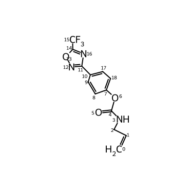 C=CCNC(=O)Oc1ccc(-c2noc(C(F)(F)F)n2)cc1